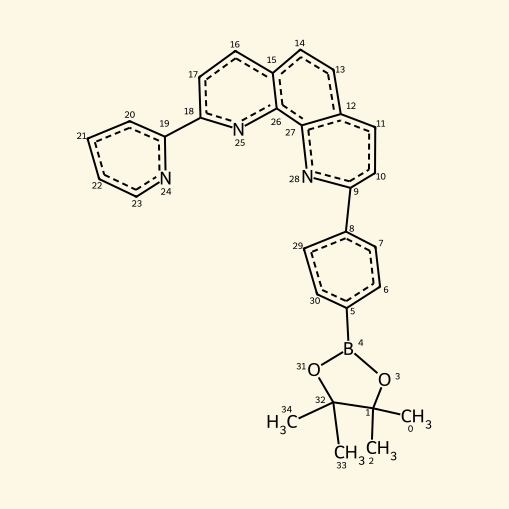 CC1(C)OB(c2ccc(-c3ccc4ccc5ccc(-c6ccccn6)nc5c4n3)cc2)OC1(C)C